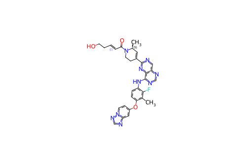 Cc1c(Oc2ccn3ncnc3c2)ccc(Nc2ncnc3cnc(C4=C[C@H](C)N(C(=O)/C=C/CCO)CC4)nc23)c1F